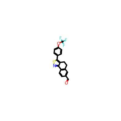 O=Cc1ccc2c(c1)CCc1c-2nsc1-c1ccc(OC(F)(F)F)cc1